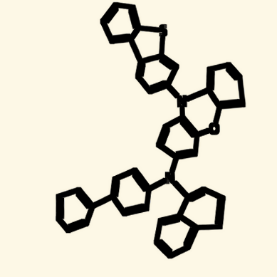 c1ccc(-c2ccc(N(c3ccc4c(c3)Oc3ccccc3N4c3ccc4c(c3)sc3ccccc34)c3cccc4ccccc34)cc2)cc1